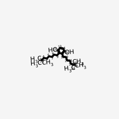 CC(C)(C)CCCCCCc1c(O)ccc(O)c1CCCCCC(C)(C)C